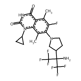 Cc1c(F)c(N2CCC(C(N)(C(F)(F)F)C(F)(F)F)C2)c(C)c2c1c(=O)[nH]c(=O)n2C1CC1